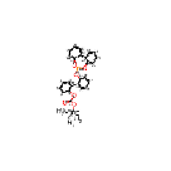 CC(C)(C)OC(=O)Oc1ccccc1-c1ccccc1Op1oc2ccccc2c2ccccc2o1